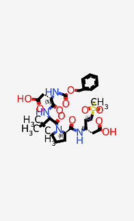 CC(C)(C)C(NC(=O)[C@H](CC(=O)O)NC(=O)OCc1ccccc1)C(=O)N1CCC[C@@H]1C(=O)N[C@H](/C=C/S(C)(=O)=O)CC(=O)O